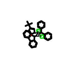 CC(C)(C)C1=C[CH]([Zr]([Cl])([Cl])(=[C](c2ccccc2)c2ccccc2)[CH]2c3ccccc3-c3ccccc32)C=C1